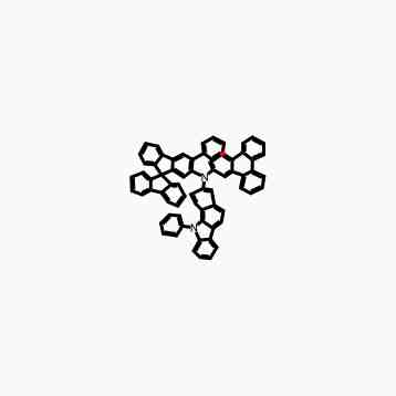 c1ccc(-c2cc3c(cc2N(c2ccc4c(ccc5c6ccccc6n(-c6ccccc6)c45)c2)c2ccc4c5ccccc5c5ccccc5c4c2)C2(c4ccccc4-c4ccccc42)c2ccccc2-3)cc1